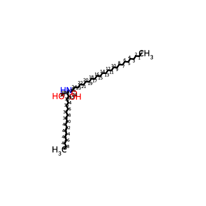 CCCCCCCCCCCCCCCCCCCCCCCCCC(=O)N[C@@H](CO)[C@H](O)CCCCCCCCCCCCCCCCC